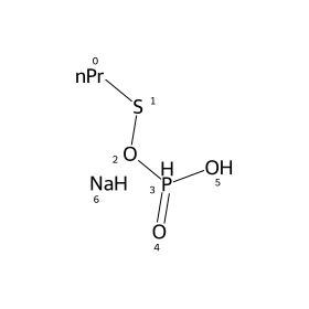 CCCSO[PH](=O)O.[NaH]